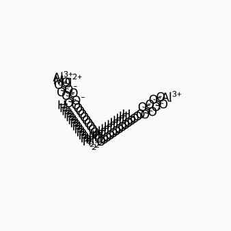 O.O.O.O.O.O.O.O.O.O.O.O.O.O.O.O.O.O.O.O.O.O.O.O.O.O.O=S(=O)([O-])[O-].O=S(=O)([O-])[O-].O=S(=O)([O-])[O-].O=S(=O)([O-])[O-].[Al+3].[Al+3].[Mg+2]